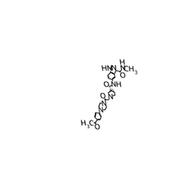 CNC(=O)c1n[nH]c2ccc(NC(=O)[C@@H]3CCN(CC(=O)N4CCN(c5ccc(C(C)=O)cc5)CC4)C3)cc12